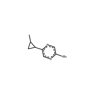 CC1CC1c1cnc(C(C)(C)C)cn1